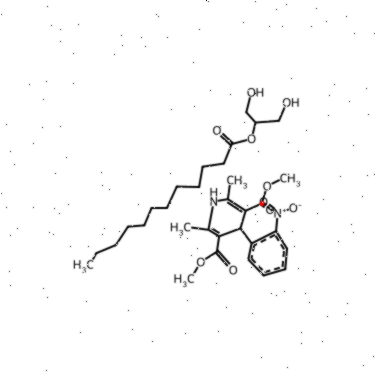 CCCCCCCCCCCC(=O)OC(CO)CO.COC(=O)C1=C(C)NC(C)=C(C(=O)OC)C1c1ccccc1[N+](=O)[O-]